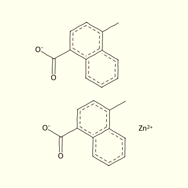 Cc1ccc(C(=O)[O-])c2ccccc12.Cc1ccc(C(=O)[O-])c2ccccc12.[Zn+2]